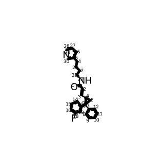 O=C(C=C[C@H]1C[C@]1(c1ccccc1)c1cccc(F)c1)NCCCCc1cccnc1